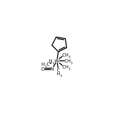 [CH3][WH2]([CH3])([CH3])([CH3])([CH3])([N]=O)[C]1=CC=CC1